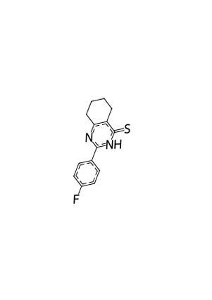 Fc1ccc(-c2nc3c(c(=S)[nH]2)CCCC3)cc1